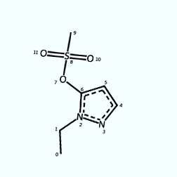 CCn1nccc1OS(C)(=O)=O